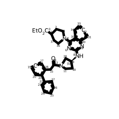 CCOC(=O)C1CCN(c2nc(N[C@H]3CCN(C(=O)Cc4ccccc4-c4ccccc4)C3)nc3ccccc23)CC1